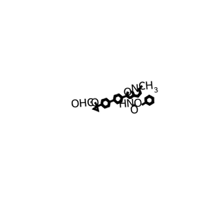 Cc1ccc2c(NC(=O)OCc3ccccc3)c(-c3ccc(-c4ccc(C5(OC=O)CC5)cc4)cc3)oc2n1